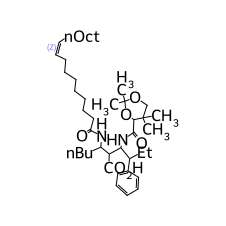 CCCCCCCC/C=C\CCCCCCCC(=O)NC(CCCC)C(C(=O)O)C(NC(=O)C1OC(C)(C)OCC1(C)C)C(CC)c1ccccc1